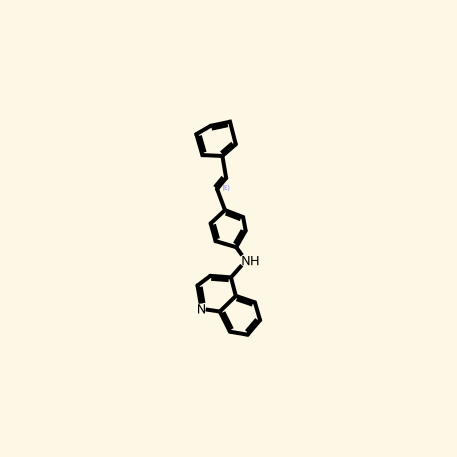 C(=C\c1ccc(Nc2ccnc3ccccc23)cc1)/c1ccccc1